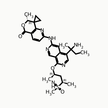 CCC(C)(N)c1cnc(O[C@H](C)C[C@@H](C)S(C)(=N)=O)c2cnc(Nc3ccc4c(n3)C3(CC3)[C@@H](C)OC4=O)cc12